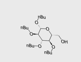 CCCCO[C@@H]1O[C@H](CO)[C@@H](OCCCC)[C@H](OCCCC)[C@H]1OCCCC